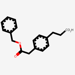 O=C(O)CCc1ccc(CC(=O)OCc2ccccc2)cc1